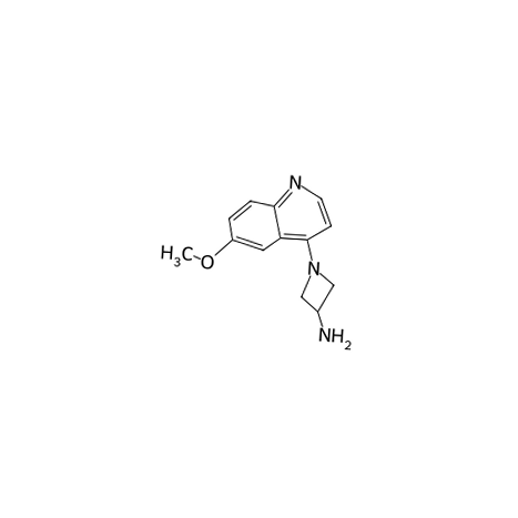 COc1ccc2nccc(N3CC(N)C3)c2c1